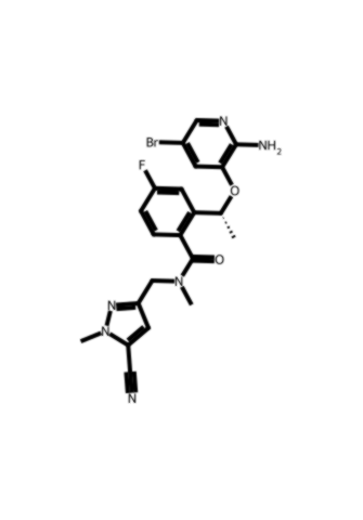 C[C@@H](Oc1cc(Br)cnc1N)c1cc(F)ccc1C(=O)N(C)Cc1cc(C#N)n(C)n1